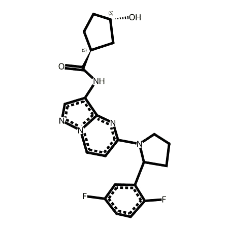 O=C(Nc1cnn2ccc(N3CCCC3c3cc(F)ccc3F)nc12)[C@H]1CC[C@H](O)C1